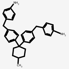 CC1CCC(c2ccc(Cc3ccc(N)cc3)cc2)(c2ccc(Cc3ccc(N)cc3)cc2)CC1